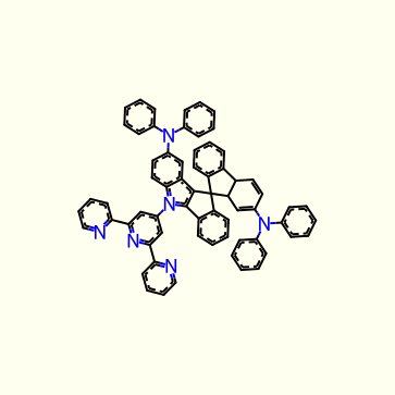 C1=CC2c3ccccc3C3(c4ccccc4-c4c3c3cc(N(c5ccccc5)c5ccccc5)ccc3n4-c3cc(-c4ccccn4)nc(-c4ccccn4)c3)C2C=C1N(c1ccccc1)c1ccccc1